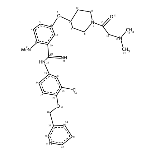 CNc1ccc(OC2CCN(C(=O)CN(C)C)CC2)cc1C(=N)Nc1ccc(OCc2cnccn2)c(Cl)c1